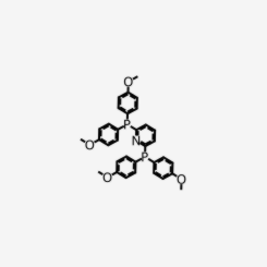 COc1ccc(P(c2ccc(OC)cc2)c2cccc(P(c3ccc(OC)cc3)c3ccc(OC)cc3)n2)cc1